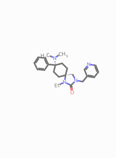 CCN1C(=O)N(Cc2cccnc2)C[C@]12CC[C@@](c1ccccc1)(N(C)C)CC2